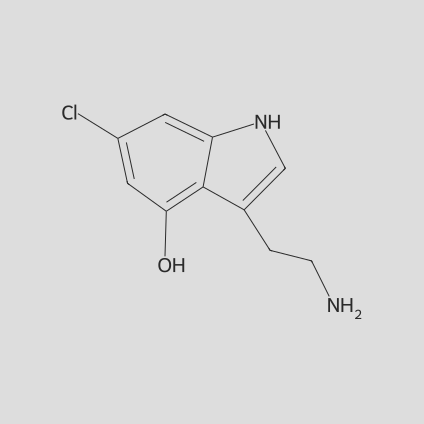 NCCc1c[nH]c2cc(Cl)cc(O)c12